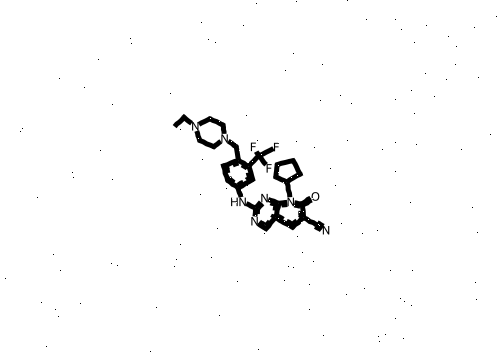 CCN1CCN(Cc2ccc(Nc3ncc4cc(C#N)c(=O)n(C5CCCC5)c4n3)cc2C(F)(F)F)CC1